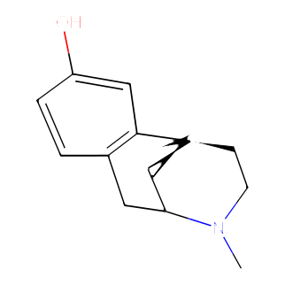 CN1CC[C@]23CCCCC2C1Cc1ccc(O)cc13